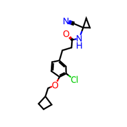 N#CC1(NC(=O)CCc2ccc(OCC3CCC3)c(Cl)c2)CC1